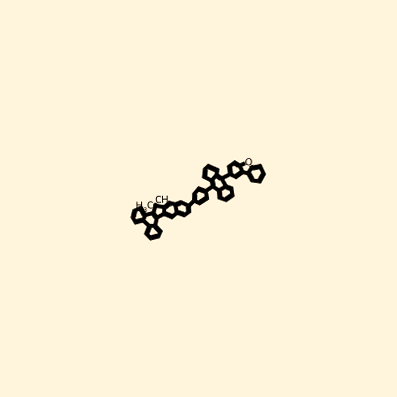 CC1(C)c2cc3cc(-c4ccc(-c5c6ccccc6c(-c6ccc7oc8ccccc8c7c6)c6ccccc56)cc4)ccc3cc2-c2c1c1ccccc1c1ccccc21